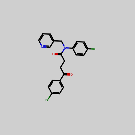 O=C(CCC(=O)N(Cc1cccnc1)c1ccc(F)cc1)c1ccc(Br)cc1